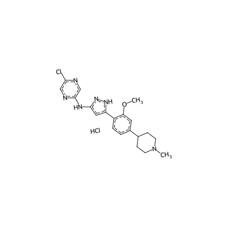 COc1cc(C2CCN(C)CC2)ccc1-c1cc(Nc2cnc(Cl)cn2)n[nH]1.Cl